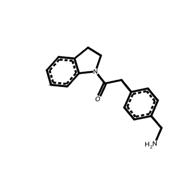 NCc1ccc(CC(=O)N2CCc3cc[c]cc32)cc1